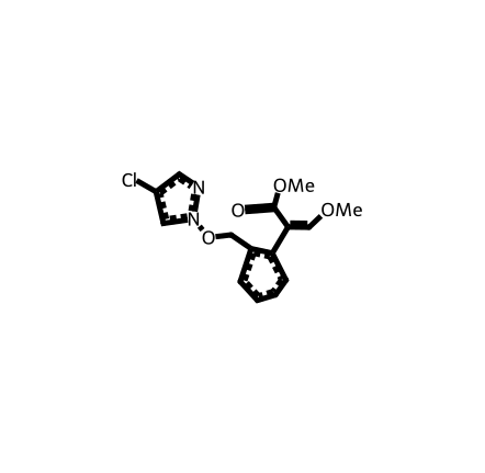 CO/C=C(\C(=O)OC)c1ccccc1COn1cc(Cl)cn1